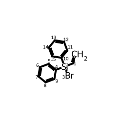 C=C[Si](Br)(c1ccccc1)c1ccccc1